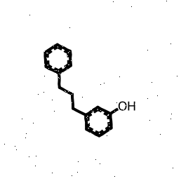 Oc1cccc(CCCc2ccccc2)c1